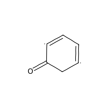 O=C1[C]=CC=[C]C1